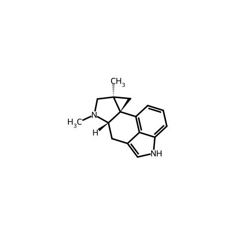 CN1C[C@@]2(C)C[C@]23c2cccc4[nH]cc(c24)C[C@H]13